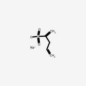 C=CCC(=C)S(=O)(=O)[O-].[Na+]